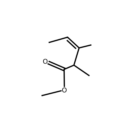 CC=C(C)C(C)C(=O)OC